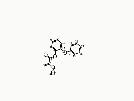 C=C(OCC)C(=O)Oc1ccccc1Oc1ccccc1